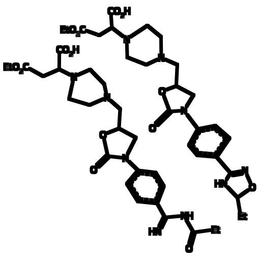 CCOC(=O)CC(C(=O)O)N1CCN(CC2CN(c3ccc(C(=N)NC(=O)CC)cc3)C(=O)O2)CC1.CCOC(=O)CC(C(=O)O)N1CCN(CC2CN(c3ccc(C4=NOC(CC)N4)cc3)C(=O)O2)CC1